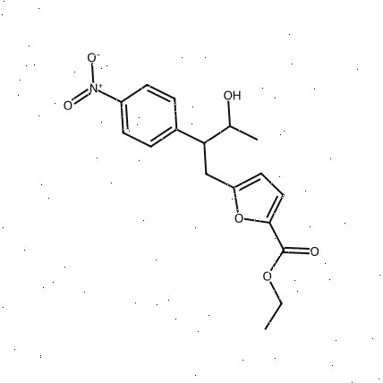 CCOC(=O)c1ccc(CC(c2ccc([N+](=O)[O-])cc2)C(C)O)o1